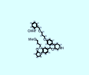 COCCCOc1cc(COC2CNCCC2c2ccc(OCCCOCc3ccccc3OC)cc2)ccc1N1CCCC1=O